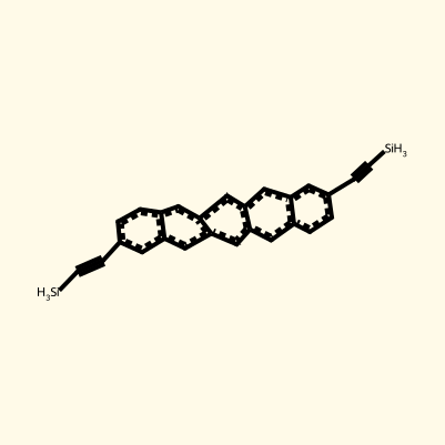 [SiH3]C#Cc1ccc2cc3[c]c4cc5cc(C#C[SiH3])ccc5cc4[c]c3cc2c1